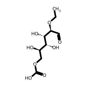 CCO[C@@H](C=O)[C@@H](O)[C@H](O)[C@H](O)COC(=O)O